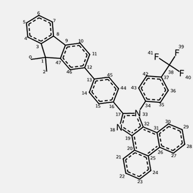 CC1(C)c2ccccc2-c2ccc(-c3ccc(-c4nc5c6ccccc6c6ccccc6c5n4-c4ccc(C(F)(F)F)cc4)cc3)cc21